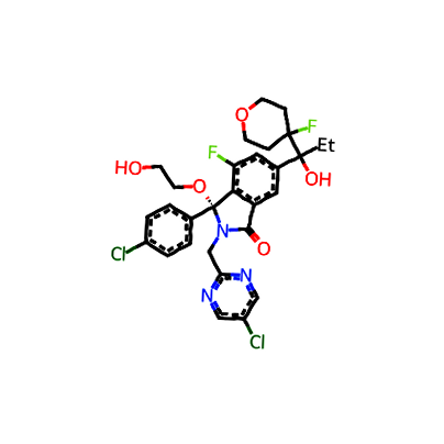 CCC(O)(c1cc(F)c2c(c1)C(=O)N(Cc1ncc(Cl)cn1)[C@@]2(OCCO)c1ccc(Cl)cc1)C1(F)CCOCC1